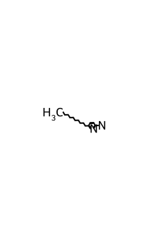 CCCCCCCCCCCc1ccc(C#N)nc1